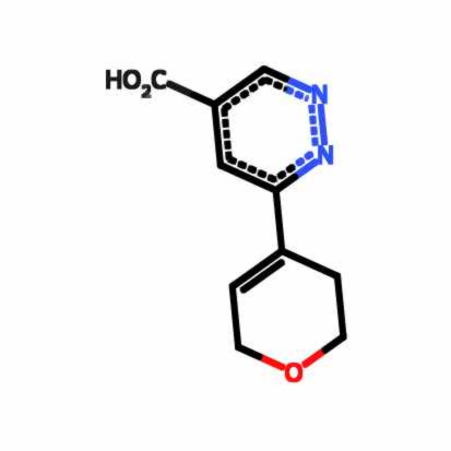 O=C(O)c1cnnc(C2=CCOCC2)c1